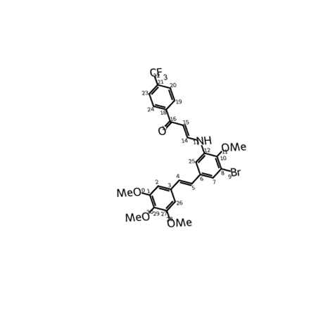 COc1cc(C=Cc2cc(Br)c(OC)c(NC=CC(=O)c3ccc(C(F)(F)F)cc3)c2)cc(OC)c1OC